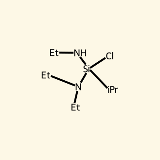 CCN[Si](Cl)(C(C)C)N(CC)CC